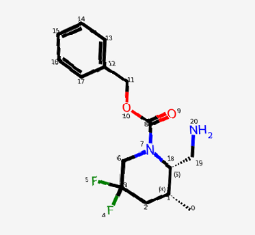 C[C@@H]1CC(F)(F)CN(C(=O)OCc2ccccc2)[C@@H]1CN